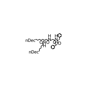 CCCCCCCCCCCCCCCC(=O)NC(CCCCCCCCCCCCCCC)CC(=O)NCCC(=O)N[C@@H](Cc1ccccc1)C(=O)OCc1ccccc1